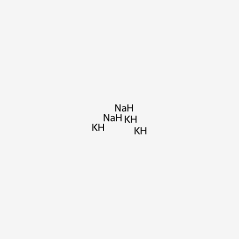 [KH].[KH].[KH].[NaH].[NaH]